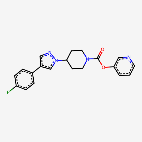 O=C(Oc1cccnc1)N1CCC(n2cc(-c3ccc(F)cc3)cn2)CC1